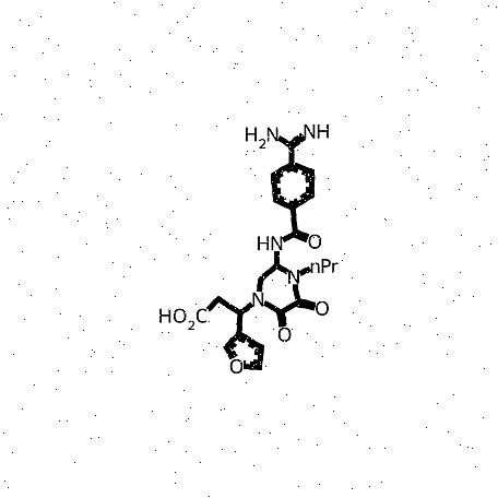 CCCN1C(=O)C(=O)N(C(CC(=O)O)c2ccoc2)CC1NC(=O)c1ccc(C(=N)N)cc1